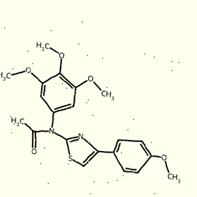 COc1ccc(-c2csc(N(C(C)=O)c3cc(OC)c(OC)c(OC)c3)n2)cc1